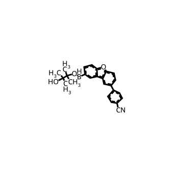 CC(C)(O)C(C)(C)OBc1ccc2oc3ccc(-c4ccc(C#N)cc4)cc3c2c1